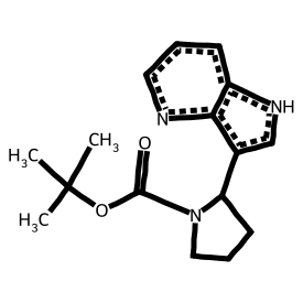 CC(C)(C)OC(=O)N1CCCC1c1c[nH]c2cccnc12